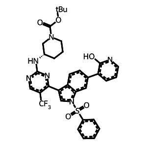 CC(C)(C)OC(=O)N1CCC[C@H](Nc2ncc(C(F)(F)F)c(-c3cn(S(=O)(=O)c4ccccc4)c4cc(-c5cccnc5O)ccc34)n2)C1